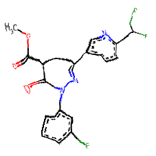 COC(=O)C1CC(c2ccc(C(F)F)nc2)=NN(c2cccc(F)c2)C1=O